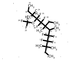 CCC(C)(C)C(F)(F)C(F)(F)C(C)C(C)(CC)C(F)(F)C(F)(OC(F)(F)F)C(C)(C)CC